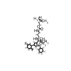 C[SiH](C)CCOC(=O)NCCCNC(c1cc(-c2cc(F)ccc2F)cn1Cc1ccccc1)C(C)(C)C